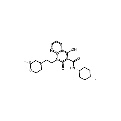 C[C@@H]1CN(CCn2c(=O)c(C(=O)N[C@H]3CC[C@@H](C)CC3)c(O)c3cccnc32)CCO1